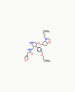 COCCCN1CCOC2CCC(COC3CNCC(CNC(=O)CC4C5COCC54)C3c3ccc(COCCOC)cc3)CC21